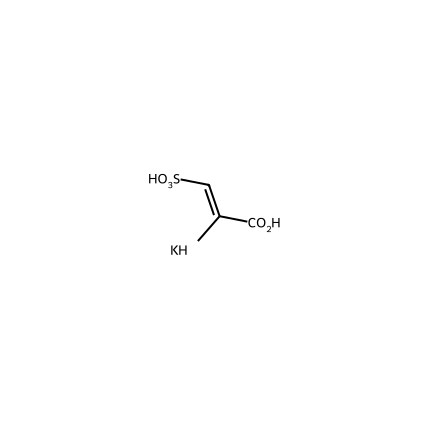 CC(=CS(=O)(=O)O)C(=O)O.[KH]